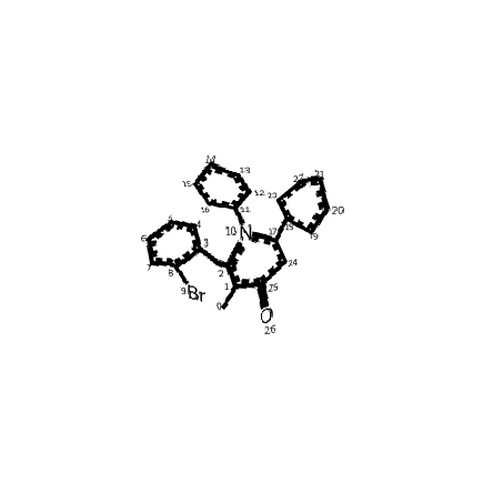 Cc1c(-c2ccccc2Br)n(-c2ccccc2)c(-c2ccccc2)cc1=O